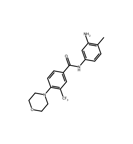 Cc1ccc(NC(=O)c2ccc(N3CCOCC3)c(C(F)(F)F)c2)cc1N